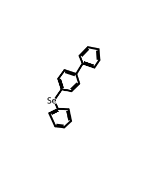 c1ccc([Se]c2ccc(-c3ccccc3)cc2)cc1